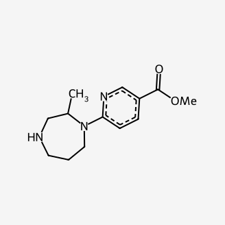 COC(=O)c1ccc(N2CCCNCC2C)nc1